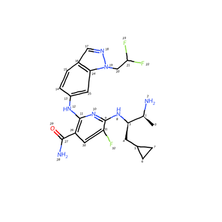 C[C@H](N)[C@@H](CC1CC1)Nc1nc(Nc2ccc3cnn(CC(F)F)c3c2)c(C(N)=O)cc1F